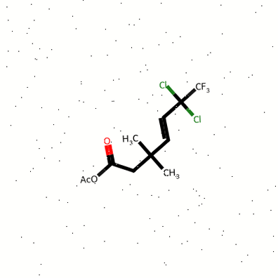 CC(=O)OC(=O)CC(C)(C)C=CC(Cl)(Cl)C(F)(F)F